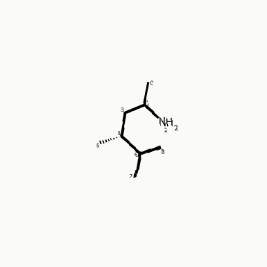 CC(N)C[C@@H](C)C(C)C